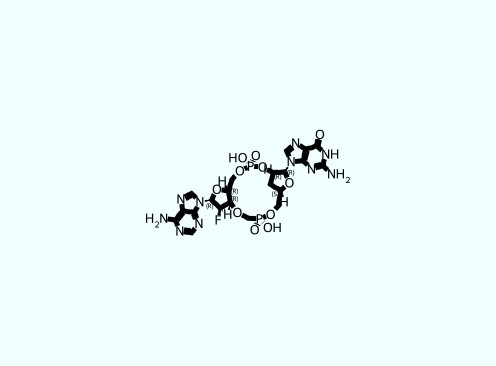 Nc1nc2c(ncn2[C@@H]2O[C@@H]3COP(=O)(O)CO[C@H]4[C@@H](F)[C@H](n5cnc6c(N)ncnc65)O[C@@H]4COP(=O)(O)O[C@@H]2C3)c(=O)[nH]1